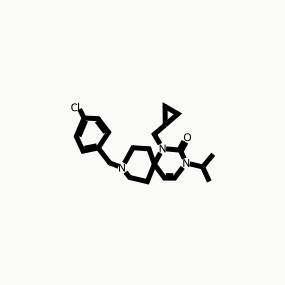 CC(C)N1C=CC2(CCN(Cc3ccc(Cl)cc3)CC2)N(CC2CC2)C1=O